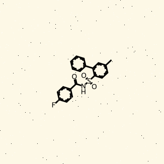 Cc1ccc(S(=O)(=O)NC(=O)c2ccc(F)cc2)c(-c2ccccc2)c1